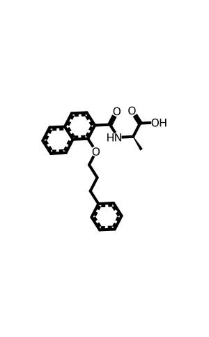 C[C@@H](NC(=O)c1ccc2ccccc2c1OCCCc1ccccc1)C(=O)O